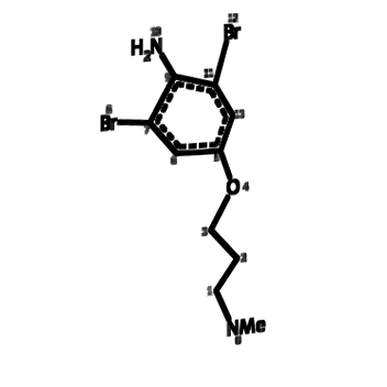 CNCCCOc1cc(Br)c(N)c(Br)c1